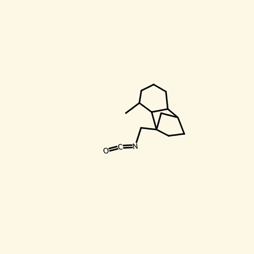 CC1CCCC2C3CCC(CN=C=O)(C3)C12